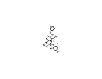 CC(C)CC(NC(=O)[C@@H]1COCCN1S(=O)(=O)Cc1c(F)cc(F)cc1F)C(=O)NCc1cccnc1